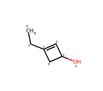 CCC1=CC(O)C1